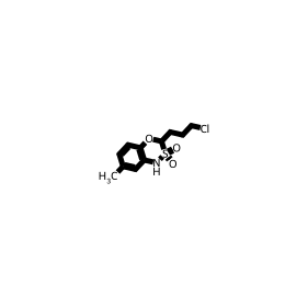 Cc1ccc2c(c1)NS(=O)(=O)C(CCCCl)O2